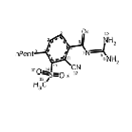 CCCCCc1ccc(C(=O)N=C(N)N)c(C#N)c1S(C)(=O)=O